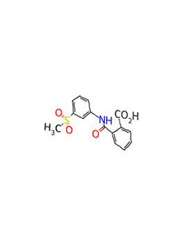 CS(=O)(=O)c1cccc(NC(=O)c2ccccc2C(=O)O)c1